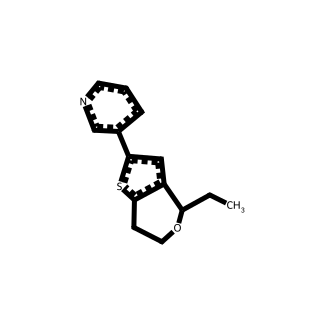 CCC1OCCc2sc(-c3cccnc3)cc21